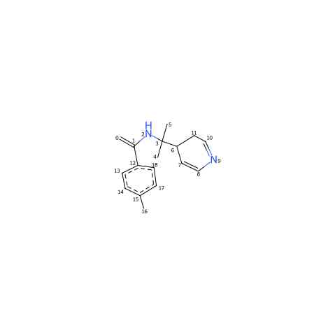 C=C(NC(C)(C)C1C=CN=CC1)c1ccc(C)cc1